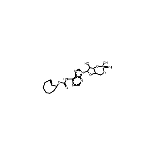 O=C(Nc1ncnc2c1ncn2C1OC2COP(O)(=P)OC2C1O)OC1/C=C/CCCCC1